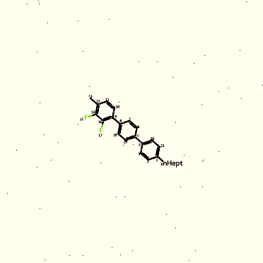 CCCCCCCc1ccc(-c2ccc(-c3ccc(C)c(F)c3F)cc2)cc1